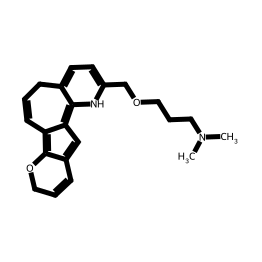 CN(C)CCCOCC1=CC=C2CC=CC3=C4OCC=CC4=CC3=C2N1